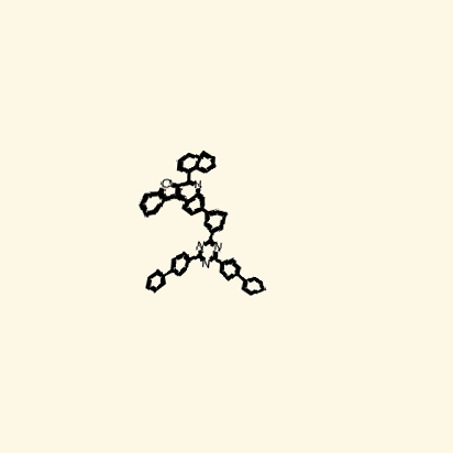 c1ccc(-c2ccc(-c3nc(-c4ccc(-c5ccccc5)cc4)nc(-c4cccc(-c5ccc6c(c5)nc(-c5cccc7ccccc57)c5oc7ccccc7c56)c4)n3)cc2)cc1